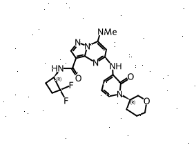 CNc1cc(Nc2cccn([C@@H]3CCCOC3)c2=O)nc2c(C(=O)N[C@@H]3CCC3(F)F)cnn12